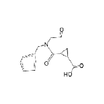 O=CCN(Cc1ccccc1)C(=O)C1CC1C(=O)O